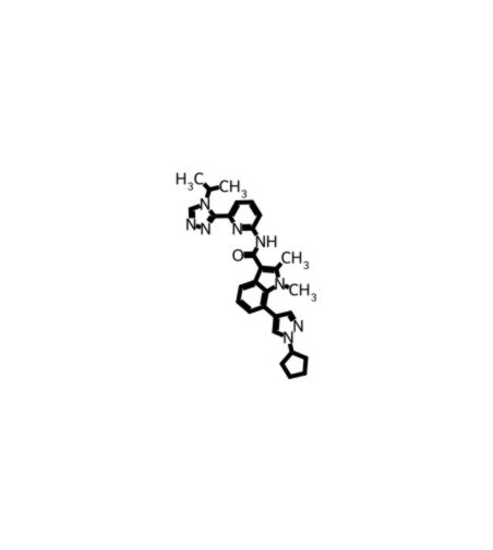 Cc1c(C(=O)Nc2cccc(-c3nncn3C(C)C)n2)c2cccc(-c3cnn(C4CCCC4)c3)c2n1C